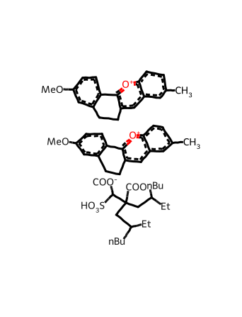 CCCCC(CC)CC(CC(CC)CCCC)(C(=O)[O-])C(C(=O)[O-])S(=O)(=O)O.COc1ccc2c(c1)CCc1cc3cc(C)ccc3[o+]c1-2.COc1ccc2c(c1)CCc1cc3cc(C)ccc3[o+]c1-2